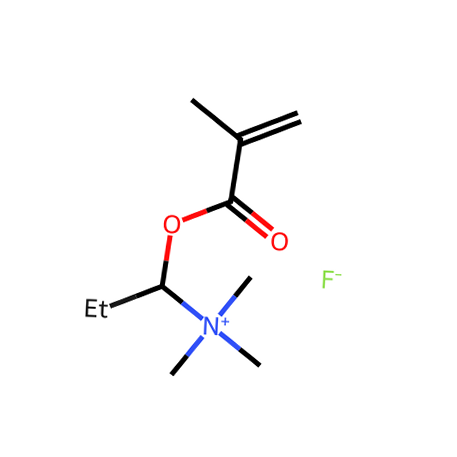 C=C(C)C(=O)OC(CC)[N+](C)(C)C.[F-]